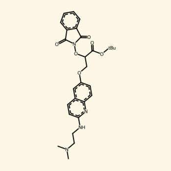 CN(C)CCNc1ccc2cc(OCC(ON3C(=O)c4ccccc4C3=O)C(=O)OC(C)(C)C)ccc2n1